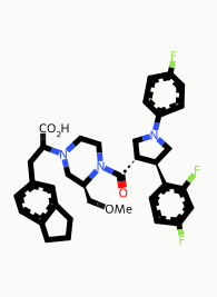 COC[C@H]1CN(C(Cc2ccc3c(c2)CCC3)C(=O)O)CCN1C(=O)[C@@H]1CN(c2ccc(F)cc2)C[C@H]1c1ccc(F)cc1F